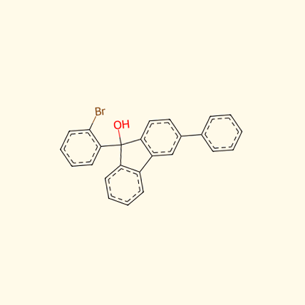 OC1(c2ccccc2Br)c2ccccc2-c2cc(-c3ccccc3)ccc21